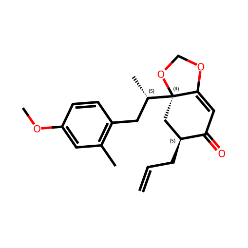 C=CC[C@H]1C[C@]2([C@@H](C)Cc3ccc(OC)cc3C)OCOC2=CC1=O